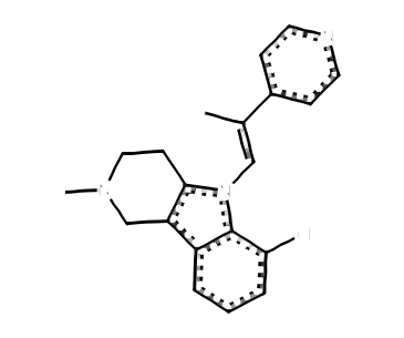 CC(=Cn1c2c(c3cccc(Cl)c31)CN(C)CC2)c1ccncc1